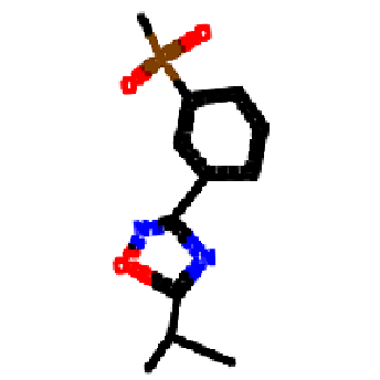 CC(C)c1nc(-c2cccc(S(C)(=O)=O)c2)no1